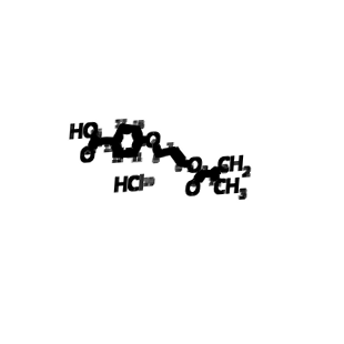 C=C(C)C(=O)OC=CCOc1ccc(C(=O)O)cc1.Cl